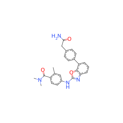 Cc1cc(Nc2nc3cccc(-c4ccc(CC(N)=O)cc4)c3o2)ccc1C(=O)N(C)C